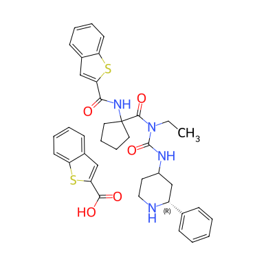 CCN(C(=O)NC1CCN[C@@H](c2ccccc2)C1)C(=O)C1(NC(=O)c2cc3ccccc3s2)CCCC1.O=C(O)c1cc2ccccc2s1